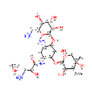 CN[C@@H]1[C@@H](O)[C@@H](O[C@@H]2[C@@H](O)[C@H](O[C@H]3O[C@H](CN)[C@@H](O)[C@H](O)[C@H]3O)[C@@H](N)C[C@H]2NC(=O)C(O)CN)OC[C@]1(C)O.O=S(=O)(O)O